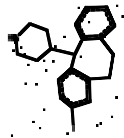 Ic1ccc2c(c1)CCc1ccccc1C2C1CCNCC1